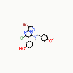 COc1ccc(CN(C[C@H]2CC[C@H](O)CC2)c2cc(Cl)nc3c(Br)cnn23)cc1